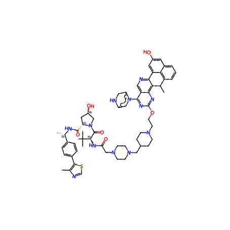 Cc1ncsc1-c1ccc([C@H](C)NC(=O)[C@@H]2C[C@@H](O)CN2C(=O)[C@@H](NC(=O)CN2CCN(CC3CCN(CCOc4nc(N5CC6CCCC5CN6)c5cnc6c(c5n4)C(C)c4cccc5cc(O)cc-6c45)CC3)CC2)C(C)(C)C)cc1